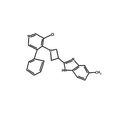 Cc1ccc2[nH]c(C3CN(c4c(Cl)cncc4-c4ccccc4)C3)nc2c1